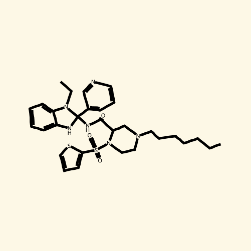 CCCCCCCN1CCN(S(=O)(=O)c2cccs2)C(C(=O)NC2(c3cccnc3)Nc3ccccc3N2CC)C1